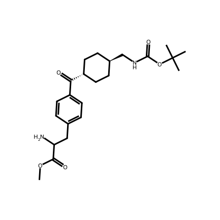 COC(=O)C(N)Cc1ccc(C(=O)[C@H]2CC[C@H](CNC(=O)OC(C)(C)C)CC2)cc1